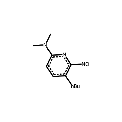 CCCCc1ccc(N(C)C)nc1N=O